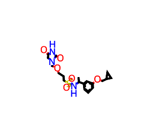 CC(NS(=O)(=O)CCCOCN1CC(=O)NC1=O)c1cccc(OCC2CC2)c1